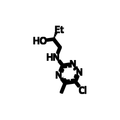 CC[C@@H](O)CNc1nnc(Cl)c(C)n1